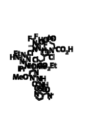 CCNc1nc(Cl)nc(NC(C)C)n1.CCOC(=O)C(Cl)Cc1cc(-n2nc(C)n(C(F)F)c2=O)c(F)cc1Cl.COc1cc(OC)nc(NC(=O)NS(=O)(=O)c2ncccc2C(=O)N(C)C)n1.CP(=O)(O)CCC(N)C(=O)O